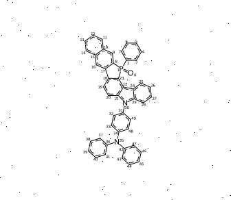 O=P1(c2ccccc2)c2cc3ccccc3cc2-c2ccc3c(c21)c1ccccc1n3-c1ccc(N(c2ccccc2)c2ccccc2)cc1